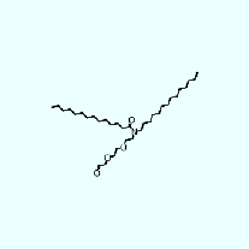 CCCCCCCCCCCCCCN(CCOCCOCC=O)C(=O)CCCCCCCCCCCCC